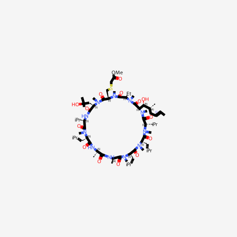 C/C=C/C[C@@H](C)[C@@H](O)[C@H]1C(=O)N(C)[C@@H](CC)C(=O)N(C)[C@H](CSCC(=O)OC)C(=O)N(C)[C@@H](CC(C)(C)O)C(=O)N[C@@H](C(C)C)C(=O)N(C)[C@@H](CC(C)C)C(=O)N[C@@H](C)C(=O)N[C@H](C)C(=O)N(C)[C@@H](CC(C)C)C(=O)N(C)[C@@H](CC(C)C)C(=O)N(C)[C@@H](C(C)C)C(=O)N1C